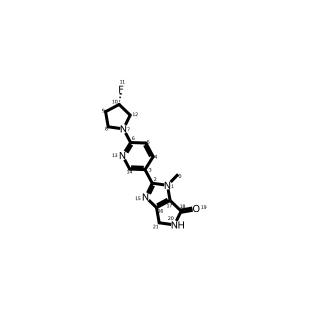 Cn1c(-c2ccc(N3CC[C@H](F)C3)nc2)nc2c1C(=O)NC2